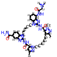 CCn1nc(C)c2c1C(=O)Nc1nc3c(NC(=O)CN(C)C)cccc3n1CCCCn1c(nc3cc(C(N)=O)ccc31)NC(=O)c1cc(C)nn1CCCCC2